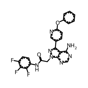 Nc1ncnc2c1c(-c1ccc(Oc3ccccc3)nc1)nn2CC(=O)Nc1ccc(F)c(F)c1F